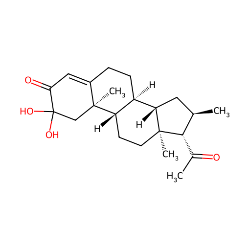 CC(=O)[C@H]1[C@H](C)C[C@H]2[C@@H]3CCC4=CC(=O)C(O)(O)C[C@]4(C)[C@H]3CC[C@@]21C